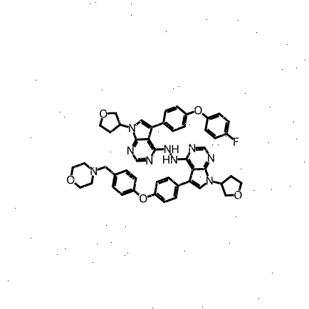 Fc1ccc(Oc2ccc(-c3cn(C4CCOC4)c4ncnc(NNc5ncnc6c5c(-c5ccc(Oc7ccc(CN8CCOCC8)cc7)cc5)cn6C5CCOC5)c34)cc2)cc1